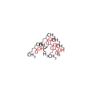 CCCCC(CC)C(=O)O.CCCCC(CC)C(=O)O.CCCCC(CC)C(=O)O.CCCCC(CC)C(=O)O.[Ti]